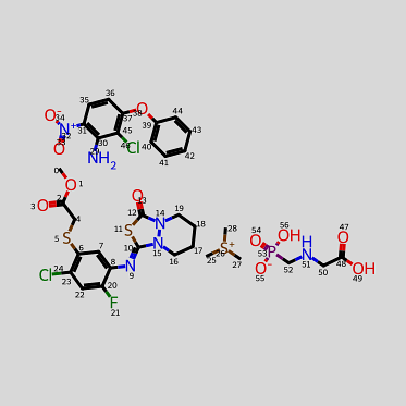 COC(=O)CSc1cc(/N=c2\sc(=O)n3n2CCCC3)c(F)cc1Cl.C[S+](C)C.Nc1c([N+](=O)[O-])ccc(Oc2ccccc2)c1Cl.O=C(O)CNCP(=O)([O-])O